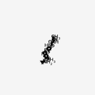 COc1cc2c(Oc3ccc(NC(=O)C(=O)Nc4cc(C)on4)cc3F)ccnc2cc1OCC1(N)CC1